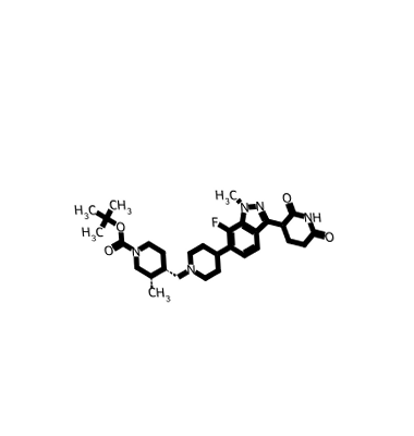 C[C@@H]1CN(C(=O)OC(C)(C)C)CC[C@@H]1CN1CCC(c2ccc3c(C4CCC(=O)NC4=O)nn(C)c3c2F)CC1